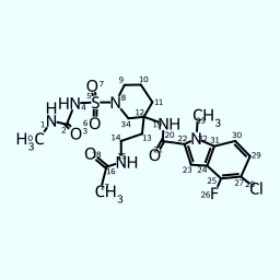 CNC(=O)NS(=O)(=O)N1CCCC(CCNC(C)=O)(NC(=O)c2cc3c(F)c(Cl)ccc3n2C)C1